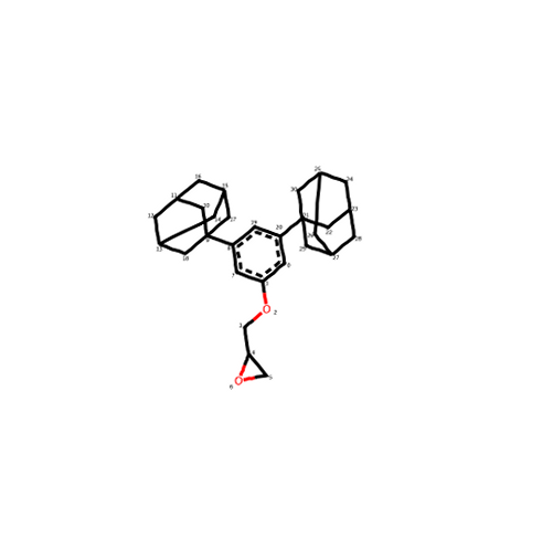 c1c(OCC2CO2)cc(C23CC4CC(CC(C4)C2)C3)cc1C12CC3CC(CC(C3)C1)C2